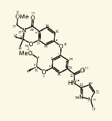 COC[C@H](C)Oc1cc(Oc2ccc3c(c2)OC(C)(C)N(COC)C3=O)cc(C(=O)Nc2ccn(C)n2)c1